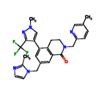 Cc1ccc(CN2CCc3c(cc(Cn4ccnc4C)cc3-c3cn(C)nc3C(F)(F)F)C2=O)nc1